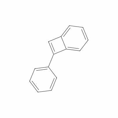 C1=C(c2ccccc2)c2ccccc21